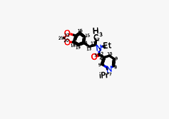 CCN(C(=O)C1=CN(C(C)C)C=CC1)C(C)Cc1ccc2c(c1)OCO2